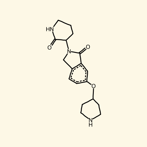 O=C1NCCCC1N1Cc2ccc(OC3CCNCC3)cc2C1=O